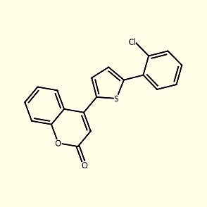 O=c1cc(-c2ccc(-c3ccccc3Cl)s2)c2ccccc2o1